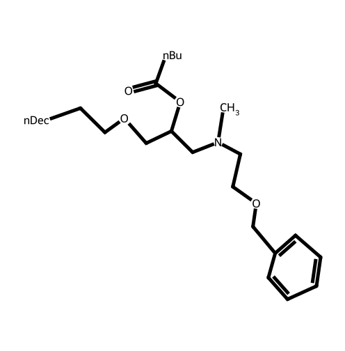 CCCCCCCCCCCCOCC(CN(C)CCOCc1ccccc1)OC(=O)CCCC